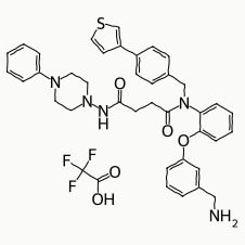 NCc1cccc(Oc2ccccc2N(Cc2ccc(-c3ccsc3)cc2)C(=O)CCC(=O)NN2CCN(c3ccccc3)CC2)c1.O=C(O)C(F)(F)F